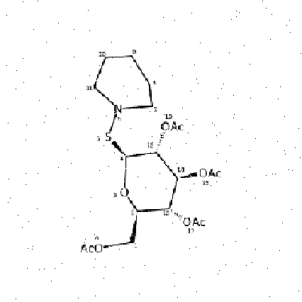 CC(=O)OC[C@H]1O[C@@H](SN2CCCCC2)[C@H](OC(C)=O)[C@@H](OC(C)=O)[C@@H]1OC(C)=O